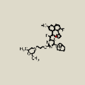 CC1CN(CCCOc2nc(N3CC4CCC(C3)N4)c3cc(Cl)c(-c4cc(O)cc5ccc(F)c(C67CC(C6)C7)c45)c(F)c3n2)CC(C)O1